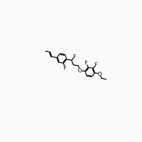 C/C=C/c1ccc(C(F)CCOc2ccc(OCC)c(F)c2F)c(F)c1